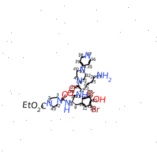 CCOC(=O)N1CCN(C(=O)N[C@H](Cc2cc(Br)c(O)c(Br)c2)C(=O)N[C@@H](CCCCN)C(=O)N2CCN(c3ccncc3)CC2)CC1